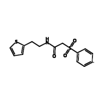 O=C(CS(=O)(=O)c1cc[c]cc1)NCCc1cccs1